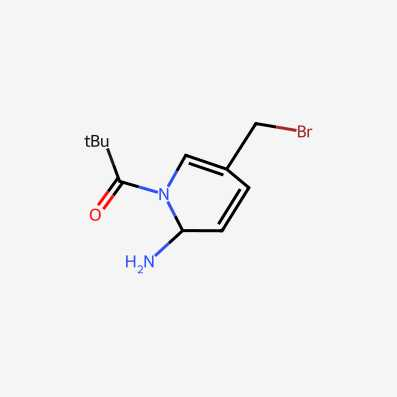 CC(C)(C)C(=O)N1C=C(CBr)C=CC1N